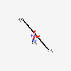 CCCCCCCCC=CCCCCCCCC(=O)OCC(COC(=O)CCCCCCCC=CCCCCCCCC)NC(=O)OCCNCC